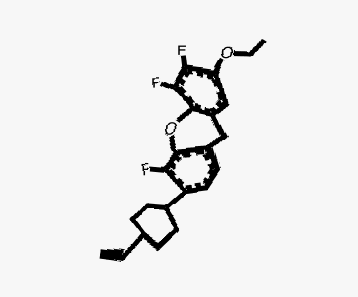 C=CC1CCC(c2ccc3c(c2F)Oc2c(cc(OCC)c(F)c2F)C3)CC1